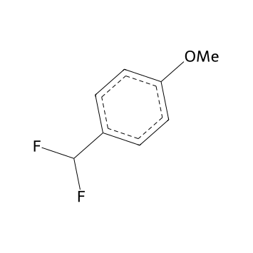 COc1ccc(C(F)F)cc1